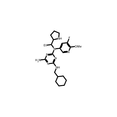 CCC(C1CCCN1)N(c1cnc(OC)c(F)c1)c1nc(N)nc(NCC2CCCCC2)n1